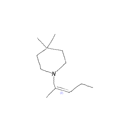 CC/C=C(/C)N1CCC(C)(C)CC1